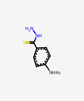 CC(=O)Nc1ccc(C(=S)NN)cc1